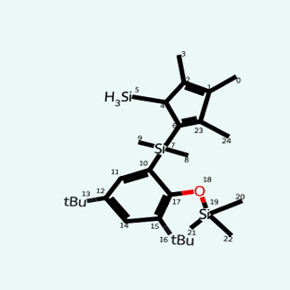 CC1=C(C)C([SiH3])C([Si](C)(C)c2cc(C(C)(C)C)cc(C(C)(C)C)c2O[Si](C)(C)C)=C1C